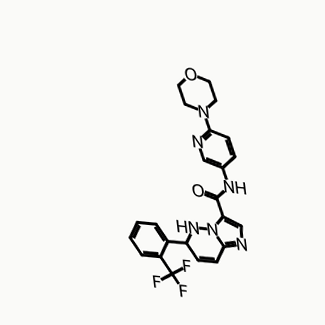 O=C(Nc1ccc(N2CCOCC2)nc1)c1cnc2n1NC(c1ccccc1C(F)(F)F)C=C2